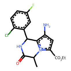 CCOC(=O)c1cc(N)c2n1C(C)C(=O)NC2c1cc(F)ccc1Cl